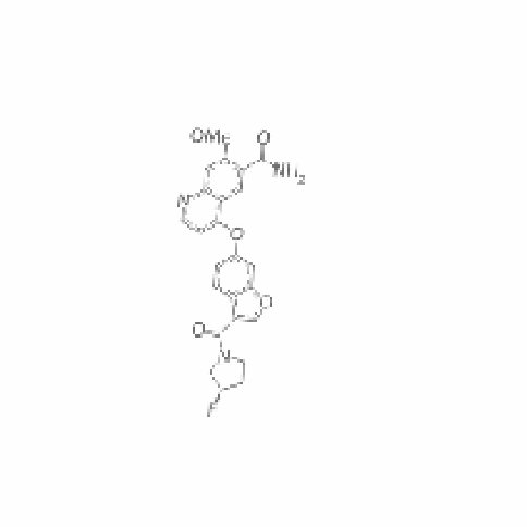 COc1cc2nccc(Oc3ccc4c(C(=O)N5CC[C@@H](F)C5)coc4c3)c2cc1C(N)=O